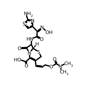 CN(C)C(=O)OC/C=C\C1=C(C(=O)O)N2C(=O)C(NC(=O)/C(=N\O)c3csc(N)n3)[C@@H]2SC1